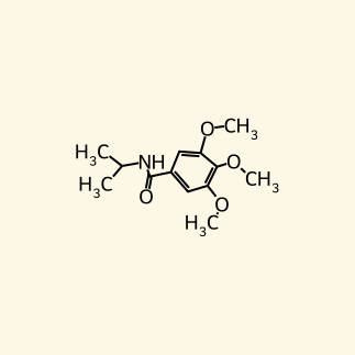 COc1cc(C(=O)NC(C)C)cc(OC)c1OC